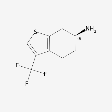 N[C@H]1CCc2c(C(F)(F)F)csc2C1